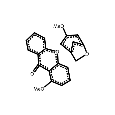 COc1cc2cc(c1)OC2.COc1cccc2oc3ccccc3c(=O)c12